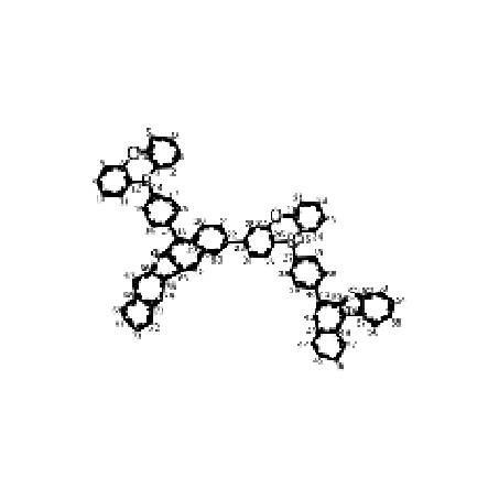 c1ccc2c(c1)Oc1ccccc1B2c1ccc(-c2c3ccc(-c4ccc5c(c4)Oc4ccccc4B5c4ccc(-c5cc6ccccc6c6c5sc5ccccc56)cc4)cc3cc3c2sc2cc4ccccc4cc23)cc1